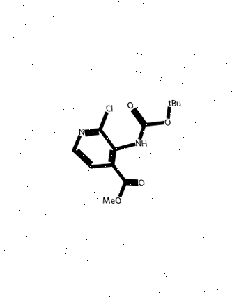 COC(=O)c1ccnc(Cl)c1NC(=O)OC(C)(C)C